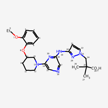 CCOc1ccccc1OC1CCCN(c2cncc(Nc3ccn(CC(C)(C)C(=O)O)n3)n2)C1